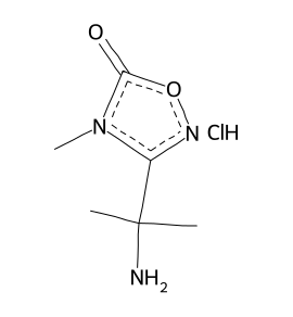 Cl.Cn1c(C(C)(C)N)noc1=O